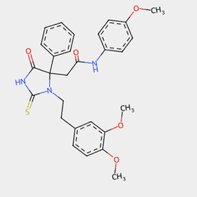 COc1ccc(NC(=O)CC2(c3ccccc3)C(=O)NC(=S)N2CCc2ccc(OC)c(OC)c2)cc1